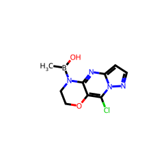 CB(O)N1CCOc2c1nc1ccnn1c2Cl